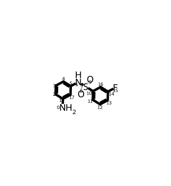 Nc1cccc(NS(=O)(=O)c2cccc(F)c2)c1